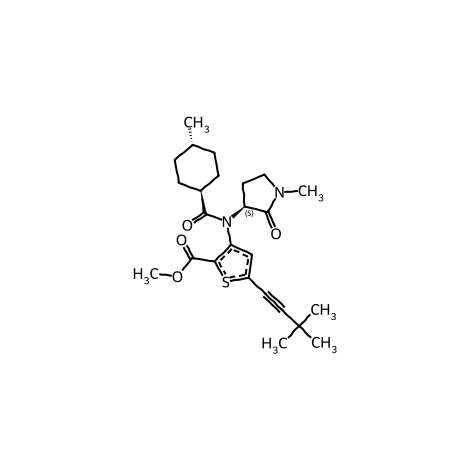 COC(=O)c1sc(C#CC(C)(C)C)cc1N(C(=O)[C@H]1CC[C@H](C)CC1)[C@H]1CCN(C)C1=O